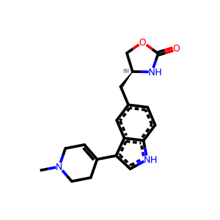 CN1CC=C(c2c[nH]c3ccc(C[C@H]4COC(=O)N4)cc23)CC1